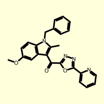 COc1ccc2c(c1)c(C(=O)c1nnc(-c3ccccn3)o1)c(C)n2Cc1ccccc1